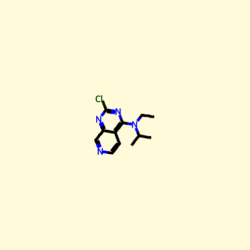 CCN(c1nc(Cl)nc2cnccc12)C(C)C